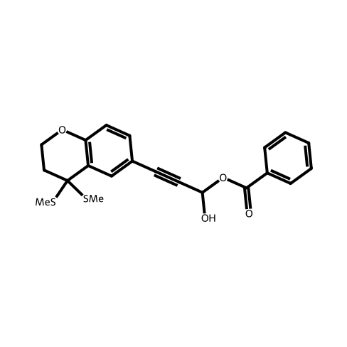 CSC1(SC)CCOc2ccc(C#CC(O)OC(=O)c3ccccc3)cc21